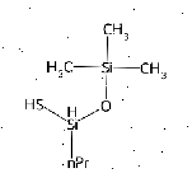 CCC[SiH](S)O[Si](C)(C)C